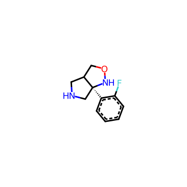 Fc1ccccc1[C@]12CNCC1CON2